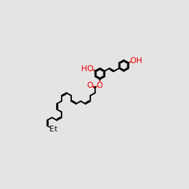 CC/C=C\C/C=C\C/C=C\C/C=C\C/C=C\C/C=C\CCC(=O)Oc1cc(O)cc(/C=C/c2ccc(O)cc2)c1